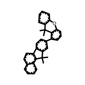 CC1(C)c2ccccc2Oc2cccc(-c3ccc4c(c3)C(C)(C)c3c-4ccc4ccccc34)c21